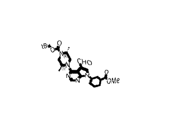 COC(=O)C1CCCC(n2cc(C=O)c3c(N4C[C@@H](C)N(C(=O)OC(C)(C)C)C[C@@H]4C)ncnc32)C1